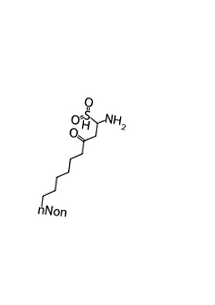 CCCCCCCCCCCCCCCC(=O)CC(N)[SH](=O)=O